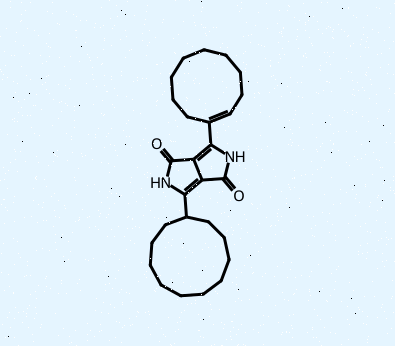 O=C1NC(C2CCCCCCCCCC2)=C2C(=O)NC(/C3=C/CCCCCCCC3)=C12